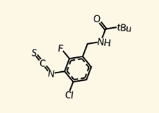 CC(C)(C)C(=O)NCc1ccc(Cl)c(N=C=S)c1F